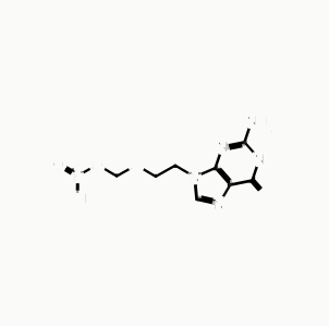 Nc1nc2c(ncn2CCOCO[PH](=O)O)c(=O)[nH]1